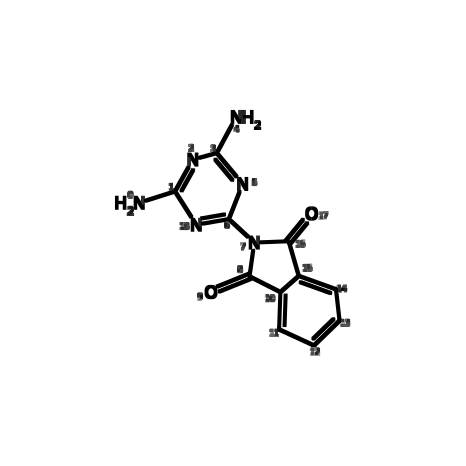 Nc1nc(N)nc(N2C(=O)c3ccccc3C2=O)n1